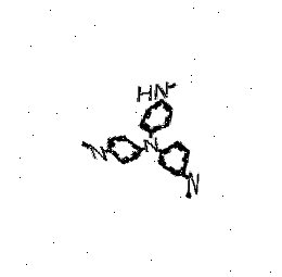 C=Nc1ccc(N(c2ccc(N=C)cc2)c2ccc(NC)cc2)cc1